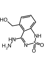 NNC1=NS(=O)(=O)Nc2cccc(CO)c21